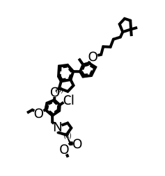 CCOc1cc(O[C@H]2CCc3c(-c4cccc(OCCCCCC5CCCC5(C)C)c4C)cccc32)c(Cl)cc1CN1CC[C@@H](C(=O)OC)C1